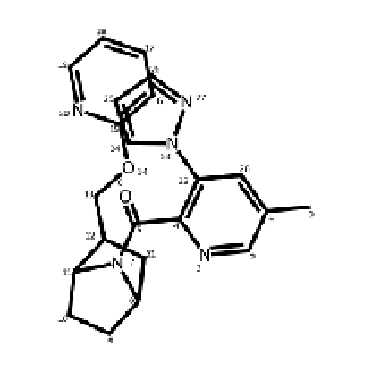 Cc1cnc(C(=O)N2C3CCC2C(COc2ccccn2)C3)c(-n2cccn2)c1